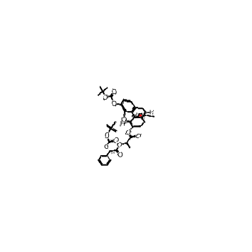 CC(OC(=O)[C@@H](OC(=O)OC(C)(C)C)c1ccccc1)C(=O)OC1=CC[C@@]2(O)[C@H]3Cc4ccc(OC(=O)OC(C)(C)C)c5c4[C@@]2(CCN3C)[C@H]1O5